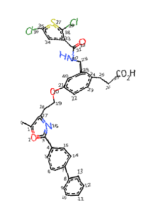 Cc1oc(-c2ccc(-c3ccccc3)cc2)nc1CCOc1ccc(CCC(=O)O)c(CNC(=O)c2cc(Cl)sc2Cl)c1